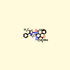 COC(=O)C1=C(C)NC(C)(Nc2nc(-c3ccccc3)c(C)s2)C(C(=O)OC)C1c1ccccc1